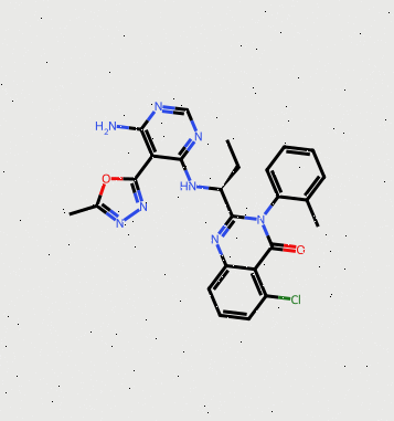 CC[C@H](Nc1ncnc(N)c1-c1nnc(C)o1)c1nc2cccc(Cl)c2c(=O)n1-c1ccccc1C